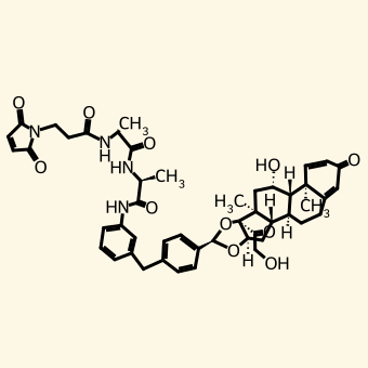 C[C@H](NC(=O)CCN1C(=O)C=CC1=O)C(=O)N[C@@H](C)C(=O)Nc1cccc(Cc2ccc([C@@H]3O[C@@H]4C[C@H]5[C@@H]6CCC7=CC(=O)C=C[C@]7(C)[C@H]6[C@@H](O)C[C@]5(C)[C@]4(C(=O)CO)O3)cc2)c1